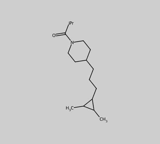 CC(C)C(=O)N1CCC(CCCC2C(C)C2C)CC1